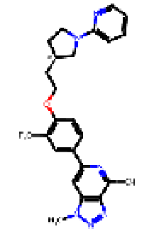 Cn1nnc2c(C#N)nc(-c3ccc(OCC[C@H]4CCN(c5ccccn5)C4)c(C(F)(F)F)c3)cc21